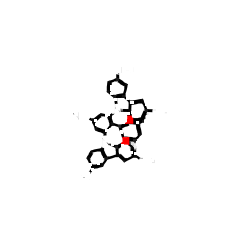 CC(C)(C)c1ccc2c(c1)c1cc(C(C)(C)C)ccc1n2-c1cc(C#N)cc(-n2c3ccc(C(C)(C)C)cc3c3cc(C(C)(C)C)ccc32)c1-c1cc(F)cc(F)c1